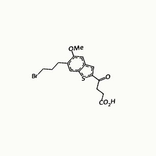 COc1cc2cc(C(=O)CCC(=O)O)sc2cc1CCCBr